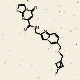 O=C(NCc1cn2cc(CNCC34CC(F)(C3)C4)ccc2n1)c1cc(=O)n2ccsc2n1